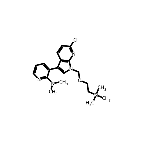 CN(C)c1ncccc1-c1cn(COCC[Si](C)(C)C)c2nc(Cl)ccc12